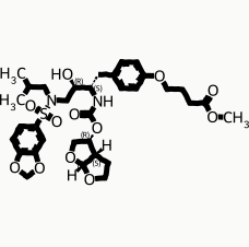 COC(=O)CCCOc1ccc(C[C@H](NC(=O)O[C@H]2CO[C@H]3OCC[C@H]32)[C@H](O)CN(CC(C)C)S(=O)(=O)c2ccc3c(c2)OCO3)cc1